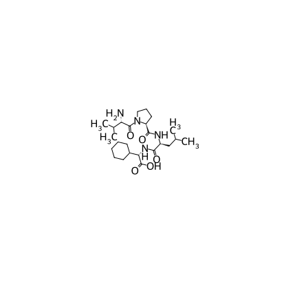 CC(C)C[C@H](NC(=O)[C@@H]1CCCN1C(=O)[C@@H](N)C(C)C)C(=O)N[C@H](C(=O)O)C1CCCCC1